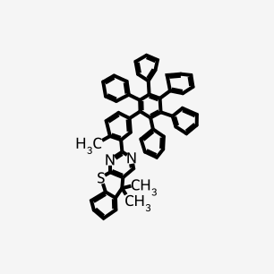 Cc1ccc(-c2c(-c3ccccc3)c(-c3ccccc3)c(-c3ccccc3)c(-c3ccccc3)c2-c2ccccc2)cc1-c1ncc2c(n1)Sc1ccccc1C2(C)C